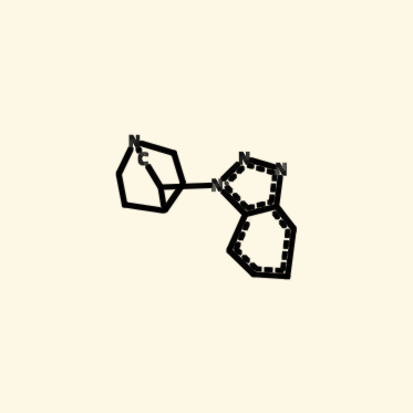 c1ccc2c(c1)nnn2C1CN2CCC1CC2